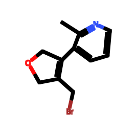 Cc1ncccc1C1=C(CBr)COC1